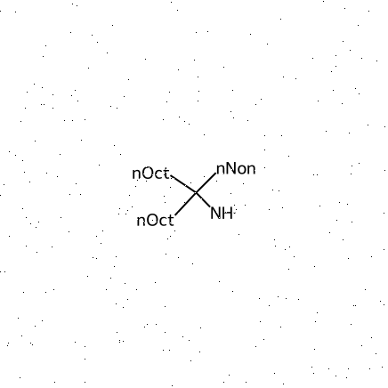 CCCCCCCCCC([NH])(CCCCCCCC)CCCCCCCC